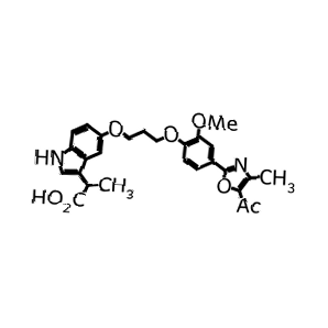 COc1cc(-c2nc(C)c(C(C)=O)o2)ccc1OCCCOc1ccc2[nH]cc(C(C)C(=O)O)c2c1